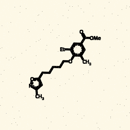 CCc1cc(C(=O)OC)cc(C)c1OCCCCCc1cc(C)no1